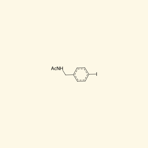 CC(=O)NCc1ccc(I)cc1